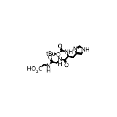 CC(C)(C)OC(=O)NC(Cc1c[nH]cn1)C(=O)NCC(=O)NCC(=O)O